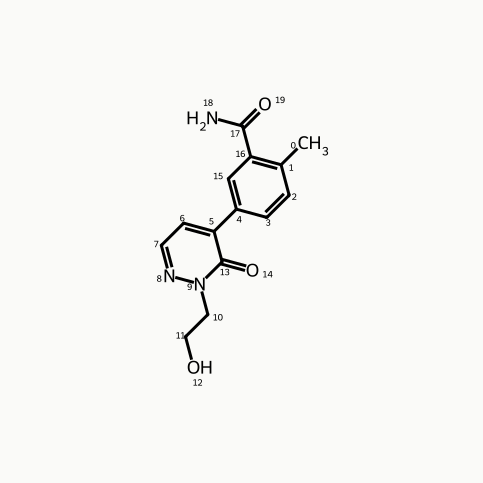 Cc1ccc(-c2ccnn(CCO)c2=O)cc1C(N)=O